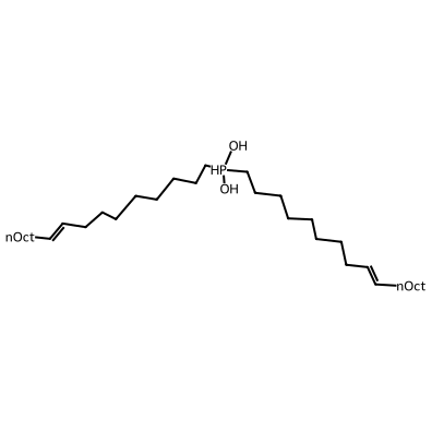 CCCCCCCCC=CCCCCCCCC[PH](O)(O)CCCCCCCCC=CCCCCCCCC